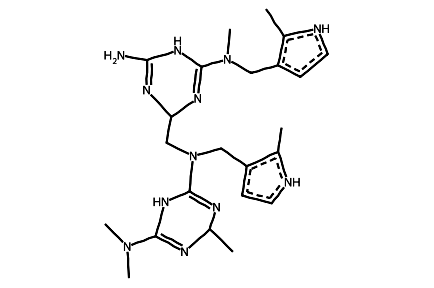 Cc1[nH]ccc1CN(C)C1=NC(CN(Cc2cc[nH]c2C)C2=NC(C)N=C(N(C)C)N2)N=C(N)N1